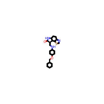 O=C1Nc2ccc3ncsc3c2/C1=C\Nc1ccc(OCc2ccccc2)cc1